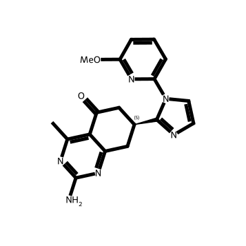 COc1cccc(-n2ccnc2[C@@H]2CC(=O)c3c(C)nc(N)nc3C2)n1